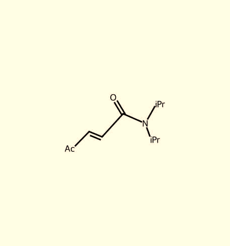 CC(=O)/C=C/C(=O)N(C(C)C)C(C)C